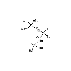 CCCCCCCC[P](CC)(CC)CC.CCCCCCCC[P](CCCC)(CCCC)CCCC.CCCC[P](C)(CCCC)CCCC